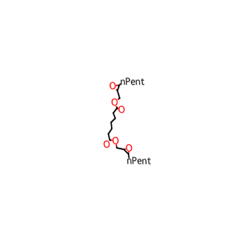 CCCCCC1OC1COC(=O)CCCCCC(=O)OCC1OC1CCCCC